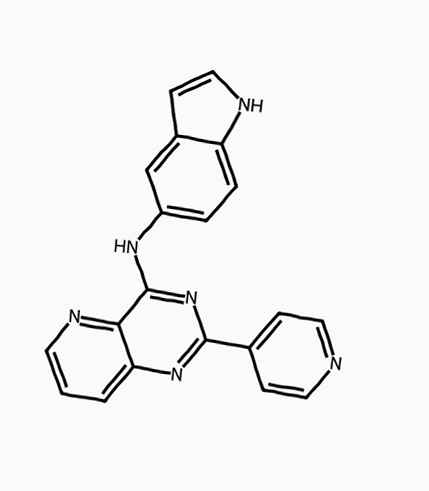 c1cnc2c(Nc3ccc4[nH]ccc4c3)nc(-c3ccncc3)nc2c1